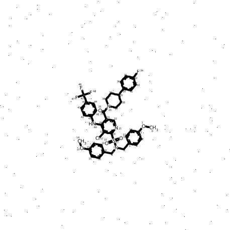 COc1ccc(CN(Cc2ccc(OC)cc2)S(=O)(=O)c2ncc(C(=O)N3CCC(c4ccc(F)cc4)CC3)c(Nc3ccc(C(F)(F)F)cc3)c2Cl)cc1